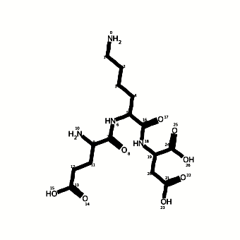 NCCCCC(NC(=O)C(N)CCC(=O)O)C(=O)NC(CC(=O)O)C(=O)O